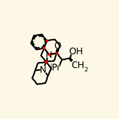 C=C(O)C(C(=O)N(c1ccccc1)C1CC2CCCC(C1)N2C1CC2CCCC(C2)C1)C(C)C